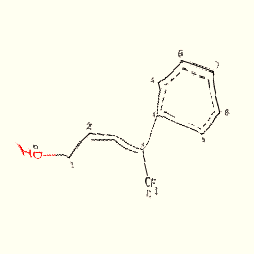 OC/C=C(/c1ccccc1)C(F)(F)F